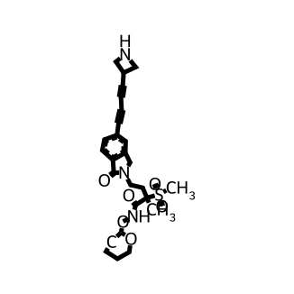 CC(CCN1Cc2cc(C#CC#CC3CNC3)ccc2C1=O)(C(=O)NOC1CCCCO1)S(C)(=O)=O